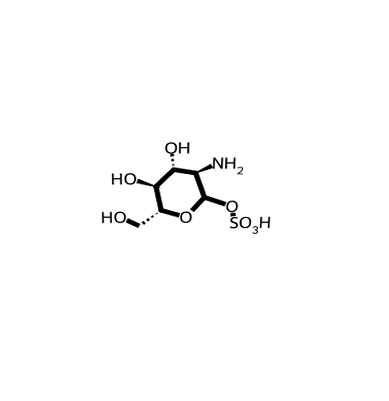 N[C@H]1C(OS(=O)(=O)O)O[C@H](CO)[C@@H](O)[C@@H]1O